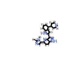 Cc1ncc(-c2ccc3[nH]nc(-c4cc5c(-c6ccncc6)cccc5[nH]4)c3n2)n1C